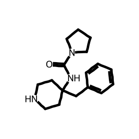 O=C(NC1(Cc2ccccc2)CCNCC1)N1CCCC1